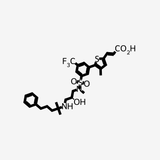 Cc1cc(C=CC(=O)O)sc1-c1cc(C(F)(F)F)cc(S(=O)(=O)N(C)C[C@H](O)CNC(C)(C)CCCc2ccccc2)c1